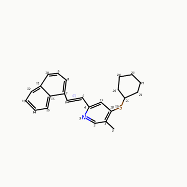 Cc1cnc(/C=C/c2cccc3ccccc23)cc1SC1CCCCC1